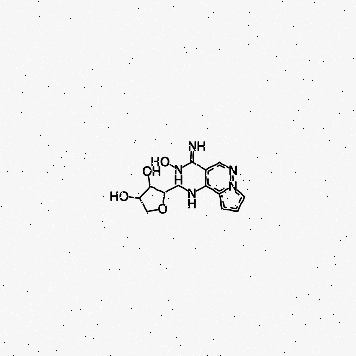 N=C(NO)c1cnn2cccc2c1NCC1OCC(O)C1O